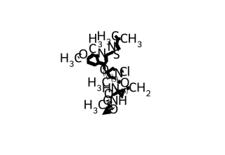 C=C[C@@H]1C[C@]1(NC(=O)[C@@H]1[C@H](C)[C@@H](Oc2cc(-c3nc(C(C)C)cs3)nc3c(C)c(OC)ccc23)CN1Cl)C(=O)NS(=O)(=O)C1(C)CC1